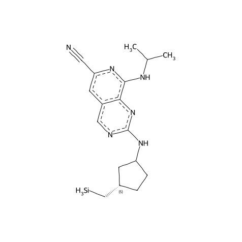 CC(C)Nc1nc(C#N)cc2cnc(NC3CC[C@H](C[SiH3])C3)nc12